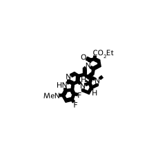 CCOC(=O)c1ccc2ccc(-c3cnc4[nH]c5c(NC)cc(F)c(F)c5c4c3N3CC[C@H]4CN(C)C[C@H]43)cn2c1=O